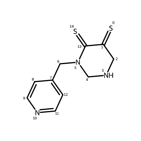 S=C1CNCN(Cc2ccncc2)C1=S